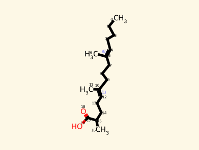 CCCC/C=C(\C)CCC/C(C)=C/CCC(C)C(=O)O